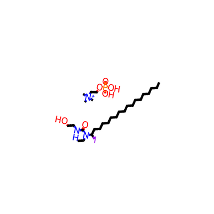 CCCCCCCCCCCCCCCCCC(I)N(CC)C(=O)NCCO.C[N+](C)(C)CCOP(=O)(O)O